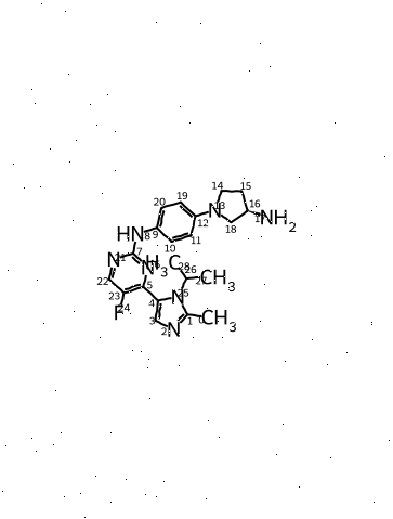 Cc1ncc(-c2nc(Nc3ccc(N4CC[C@@H](N)C4)cc3)ncc2F)n1C(C)C